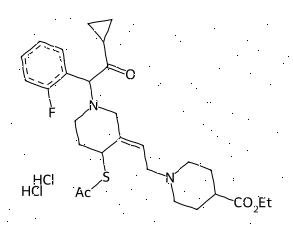 CCOC(=O)C1CCN(CC=C2CN(C(C(=O)C3CC3)c3ccccc3F)CCC2SC(C)=O)CC1.Cl.Cl